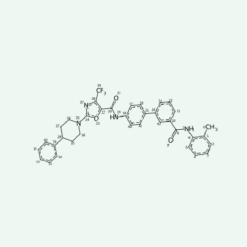 Cc1ccccc1NC(=O)c1cccc(-c2ccc(NC(=O)c3oc(N4CCC(c5ccccc5)CC4)nc3C(F)(F)F)cc2)c1